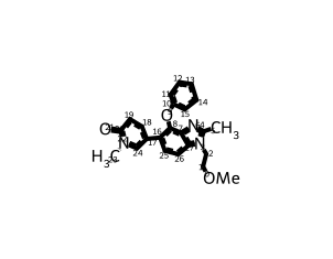 COCCn1c(C)nc2c(Oc3ccccc3)c(-c3ccc(=O)n(C)c3)ccc21